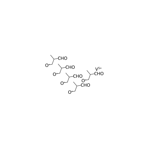 CC(C=O)C[O-].CC(C=O)C[O-].CC(C=O)C[O-].CC(C=O)C[O-].CC(C=O)C[O-].[V+5]